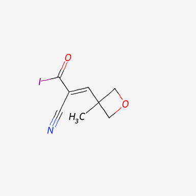 CC1(/C=C(\C#N)C(=O)I)COC1